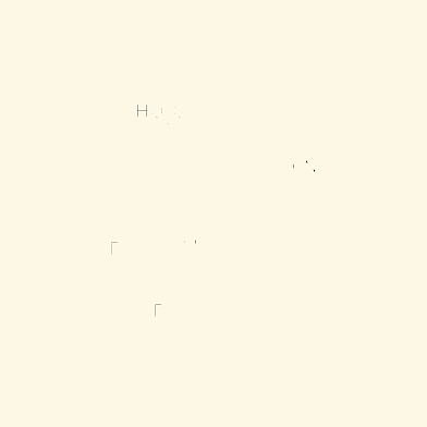 N#CC(CCC(=O)O)c1ccccc1OC(F)F